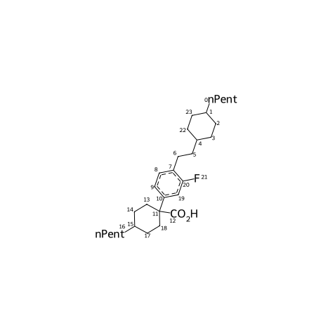 CCCCCC1CCC(CCc2ccc(C3(C(=O)O)CCC(CCCCC)CC3)cc2F)CC1